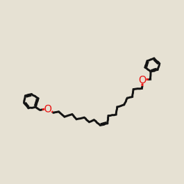 C(=C/CCCCCCCCOCc1ccccc1)/CCCCCCCCOCc1ccccc1